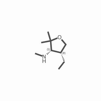 CC[C@H]1COC(C)(C)[C@H]1NC